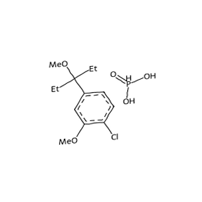 CCC(CC)(OC)c1ccc(Cl)c(OC)c1.O=[PH](O)O